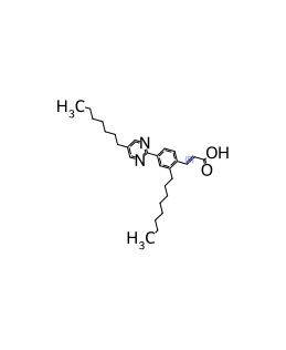 CCCCCCCCc1cc(-c2ncc(CCCCCCC)cn2)ccc1/C=C/C(=O)O